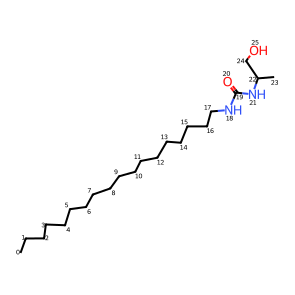 CCCCCCCCCCCCCCCCCCNC(=O)NC(C)CO